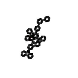 c1ccc(-c2ccc(-n3c4ccc(-n5c6ccccc6c6ccccc65)cc4c4ccc5c6ccccc6n(-c6nc(-c7ccccc7)nc(-c7ccc(-c8cccc(-c9ccccc9)c8)cc7)n6)c5c43)cc2)cc1